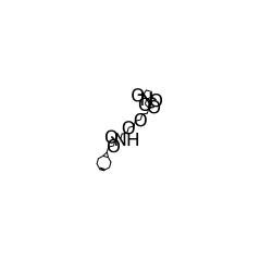 O=C(CCOCCOCCNC(=O)OCC1C2CCC#CCCC21)ON1C(=O)CCC1=O